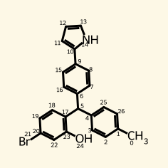 Cc1ccc(C(c2ccc(-c3ccc[nH]3)cc2)c2ccc(Br)cc2O)cc1